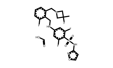 CC1(F)CN(Cc2cccc(F)c2CNc2cc(F)c(S(=O)(=O)Nc3ccon3)c(F)c2)C1.O=CO